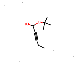 CCC#CC(O)OC(C)(C)C